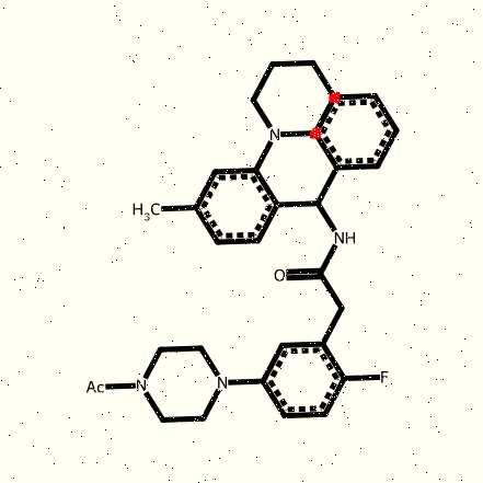 CC(=O)N1CCN(c2ccc(F)c(CC(=O)NC(c3ccccc3)c3ccc(C)cc3N3CCCCC3)c2)CC1